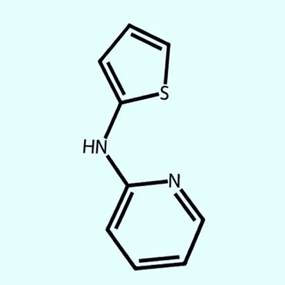 c1ccc(Nc2cccs2)nc1